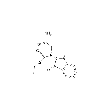 CCSC(=O)N(CC(N)=O)N1C(=O)c2ccccc2C1=O